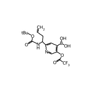 C=CCC(NC(=O)OC(C)(C)C)c1cc(B(O)O)c(OC(=O)C(F)(F)F)cn1